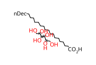 CCCCCCCCCCCCCCCCCCCCCCCCCCCC(=O)O.OC[C@@H](O)[C@@H](O)[C@H](O)[C@@H](O)CO